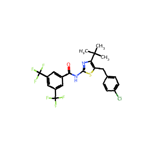 CC(C)(C)c1nc(NC(=O)c2cc(C(F)(F)F)cc(C(F)(F)F)c2)sc1Cc1ccc(Cl)cc1